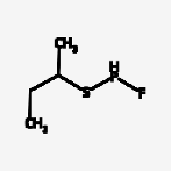 CCC(C)SPF